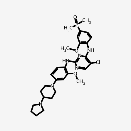 COc1cc(N2CCC(N3CCCC3)CC2)ccc1Nc1ncc(Cl)c(Nc2ccc(P(C)(C)=O)cc2OC)n1